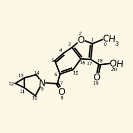 Cc1oc2ccc(C(=O)N3CC4CC4C3)cc2c1C(=O)O